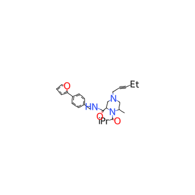 CCC#CCN1CC(C)N(C(=O)C(C)C)C(C(=O)NCc2ccc(-c3ccco3)cc2)C1